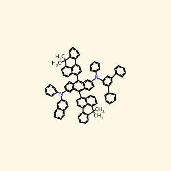 CC1(C)c2ccccc2-c2ccc(-c3c4ccc(N(c5ccccc5)c5ccc6ccccc6c5)cc4c(-c4ccc5c6c(cccc46)C(C)(C)c4ccccc4-5)c4ccc(N(c5ccccc5)c5cc(-c6ccccc6)cc(-c6ccccc6)c5)cc34)c3cccc1c23